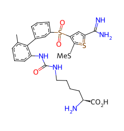 CSc1sc(C(=N)N)cc1S(=O)(=O)c1cccc(-c2c(C)cccc2NC(=O)NCCCC[C@H](N)C(=O)O)c1